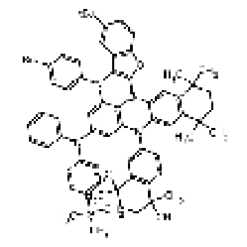 CC(C)(C)c1ccc(N2c3cc(N(c4ccccc4)c4ccc([Si](C)(C)C)cc4)cc4c3B(c3cc5c(cc3N4c3ccc4c(c3)C(C)(C)CCC4(C)C)C(C)(C)CCC5(C)C)c3oc4ccc(C(C)(C)C)cc4c32)cc1